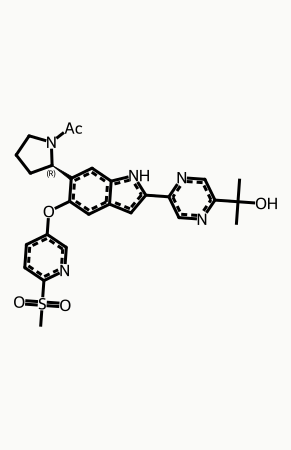 CC(=O)N1CCC[C@@H]1c1cc2[nH]c(-c3cnc(C(C)(C)O)cn3)cc2cc1Oc1ccc(S(C)(=O)=O)nc1